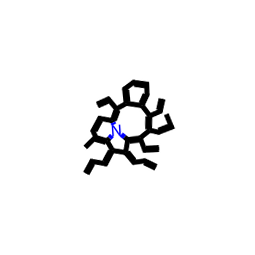 C=C/C=c1c(=C/C=C)/c2c(C=C)c(/C=C\C)c(C=C)c3ccccc3c(C=C)c(/C=C\C)n2c/1=C/C